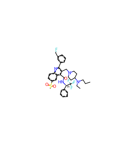 CCCN(CC)C1CCN(Cc2c(-c3cccc(CF)c3)nc3ccc(S(C)(=O)=O)cc3c2C(=O)N[C@H](c2ccccc2)C(F)(F)F)CC1